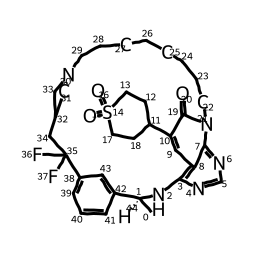 C[C@@H]1Nc2ncnc3c2cc(C2CCS(=O)(=O)CC2)c(=O)n3CCCCCCCCN2CC(C2)CC(F)(F)c2cccc1c2